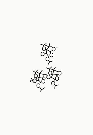 CC(C)OCC(=O)C(OC(C)C)(C(=O)[O-])C(C)(C)C.CC(C)OCC(=O)C(OC(C)C)(C(=O)[O-])C(C)(C)C.CC(C)OCC(=O)C(OC(C)C)(C(=O)[O-])C(C)(C)C.[Al+3]